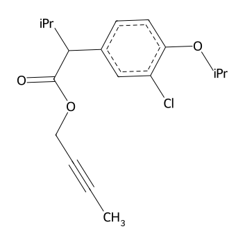 CC#CCOC(=O)C(c1ccc(OC(C)C)c(Cl)c1)C(C)C